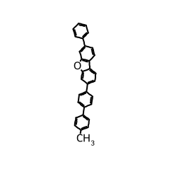 Cc1ccc(-c2ccc(-c3ccc4c(c3)oc3cc(-c5ccccc5)ccc34)cc2)cc1